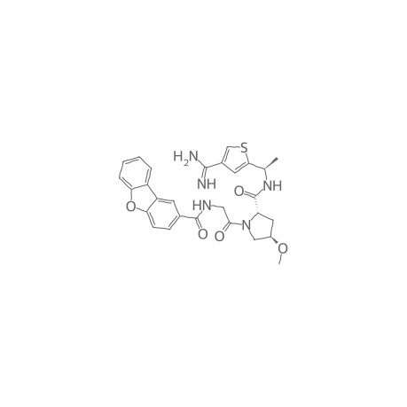 CO[C@@H]1C[C@@H](C(=O)N[C@H](C)c2cc(C(=N)N)cs2)N(C(=O)CNC(=O)c2ccc3oc4ccccc4c3c2)C1